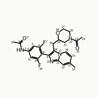 CC(=O)Nc1cc(F)c(-c2nc3cc(C)ccn3c2CC2CN(C(C)=O)CCO2)c(F)c1